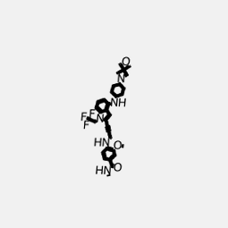 CNC(=O)c1ccc(NCC#Cc2cc3c(N[C@H]4CC[C@H](N5CC6(COC6)C5)CC4)cccc3n2CC(F)(F)F)c(OC)c1